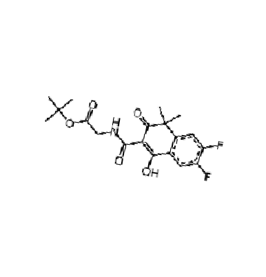 CC(C)(C)OC(=O)CNC(=O)C1=C(O)c2cc(F)c(F)cc2C(C)(C)C1=O